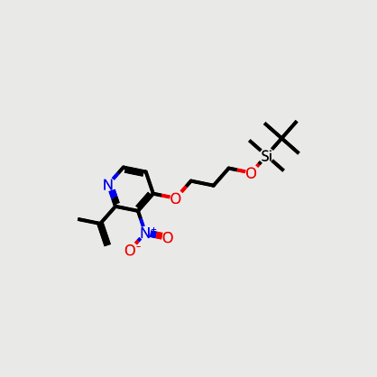 C=C(C)c1nccc(OCCCO[Si](C)(C)C(C)(C)C)c1[N+](=O)[O-]